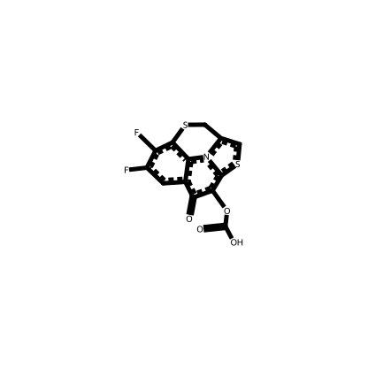 O=C(O)Oc1c(=O)c2cc(F)c(F)c3c2n2c(csc12)CS3